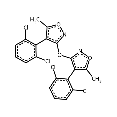 Cc1onc(Oc2noc(C)c2-c2c(Cl)cccc2Cl)c1-c1c(Cl)cccc1Cl